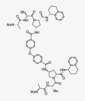 CN[C@@H](C)C(=O)N[C@H](C(=O)N1C[C@@H](NC(=O)c2ccc(Oc3ccc(C(=O)N[C@H]4C[C@@H](C(=O)N[C@@H]5CCCc6ccccc65)N(C(=O)[C@@H](NC(=O)[C@H](C)NC)C(C)(C)C)C4)cc3)cc2)C[C@H]1C(=O)N[C@@H]1CCCc2ccccc21)C(C)(C)C